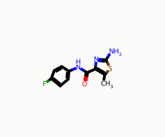 Cc1sc(N)nc1C(=O)Nc1ccc(F)cc1